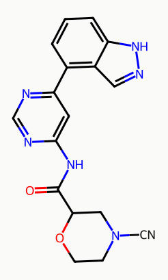 N#CN1CCOC(C(=O)Nc2cc(-c3cccc4[nH]ncc34)ncn2)C1